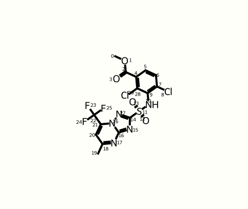 COC(=O)c1ccc(Cl)c(NS(=O)(=O)c2nc3nc(C)cc(C(F)(F)F)n3n2)c1Cl